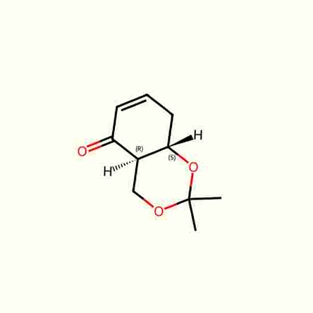 CC1(C)OC[C@H]2C(=O)C=CC[C@@H]2O1